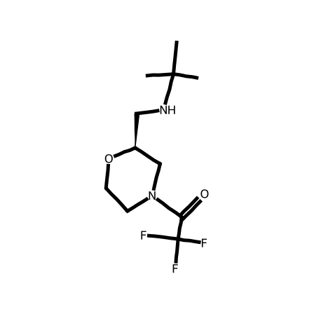 CC(C)(C)NC[C@H]1CN(C(=O)C(F)(F)F)CCO1